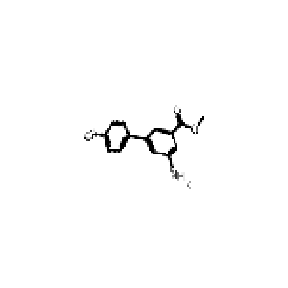 COC(=O)c1cc(N)cc(-c2ccc(Cl)cc2)c1